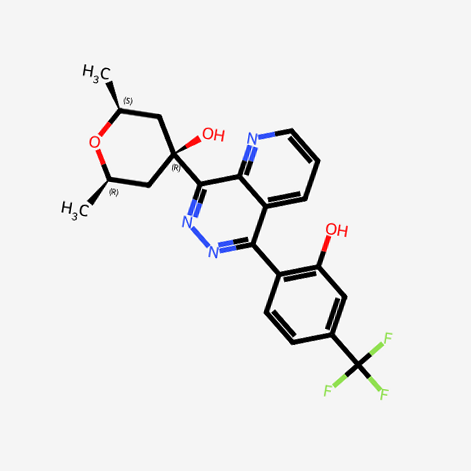 C[C@@H]1C[C@@](O)(c2nnc(-c3ccc(C(F)(F)F)cc3O)c3cccnc23)C[C@H](C)O1